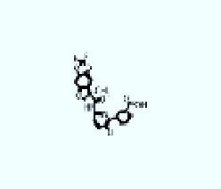 C[C@]1(C(=O)Nc2ccc(Cl)c(-c3cccc(C(=O)O)c3)n2)COc2cc3c(cc21)OC(F)(F)O3